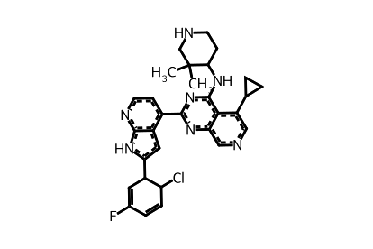 CC1(C)CNCCC1Nc1nc(-c2ccnc3[nH]c(C4C=C(F)C=CC4Cl)cc23)nc2cncc(C3CC3)c12